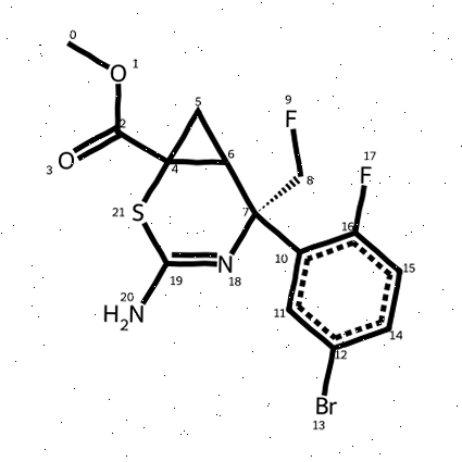 COC(=O)C12CC1[C@@](CF)(c1cc(Br)ccc1F)N=C(N)S2